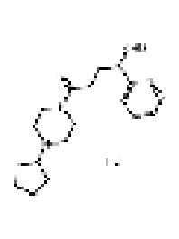 Cl.O=CC(CCC(=O)N1CCN(C2CCCC2)CC1)c1ccccc1